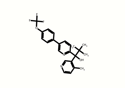 Cc1ccncc1C(O)(c1ccc(-c2ccc(OC(F)(F)F)cc2)cn1)C(C)(C)C